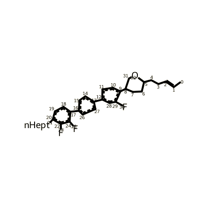 C/C=C/CCC1CCC(c2ccc(-c3ccc(-c4ccc(CCCCCCC)c(F)c4F)cc3)cc2F)CO1